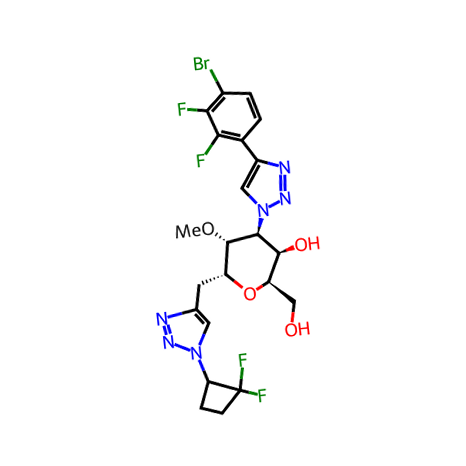 CO[C@@H]1[C@@H](n2cc(-c3ccc(Br)c(F)c3F)nn2)[C@@H](O)[C@@H](CO)O[C@@H]1Cc1cn(C2CCC2(F)F)nn1